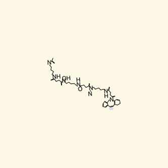 C=C(CCC(=C)N(O)CCCCCNC(=O)CCC(=C)N(C#N)CCCCCNC(=C)CCC(=C)N1Cc2ccccc2/C=C\C2=C1C=CCC2)NCCCCCN(C)C(=C)C